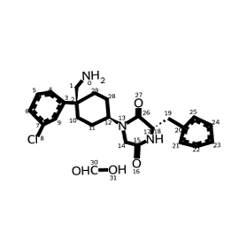 NC[C@]1(c2cccc(Cl)c2)CC[C@H](N2CC(=O)N[C@@H](Cc3ccccc3)C2=O)CC1.O=CO